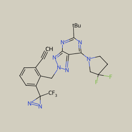 C#Cc1cccc(C2(C(F)(F)F)N=N2)c1Cn1nc2nc(C(C)(C)C)nc(N3CCC(F)(F)C3)c2n1